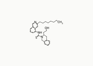 CCCCCCCCc1cc2c(NC(=S)N3Cc4ccccc4CC3CCO)cccc2cn1